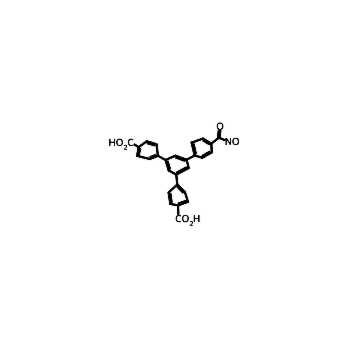 O=NC(=O)c1ccc(-c2cc(-c3ccc(C(=O)O)cc3)cc(-c3ccc(C(=O)O)cc3)c2)cc1